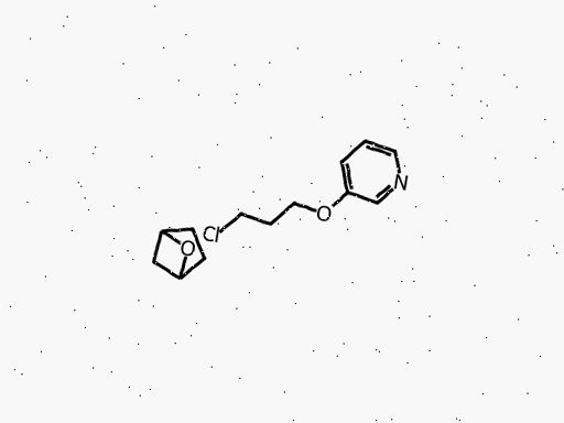 C1CC2CC1O2.ClCCCOc1cccnc1